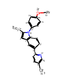 CCOC(=O)c1cc2cc(-c3ccc(C(F)(F)F)cn3)ccc2n1-c1ccc(OC(C)C)cc1